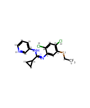 FC(F)(F)CSc1cc(/N=C(\Nc2cccnc2)C2CC2)c(Cl)cc1Cl